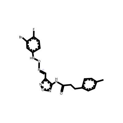 Cc1ccc(CCC(=O)Nc2nonc2/C=N/ONc2ccc(F)c(Br)c2)cc1